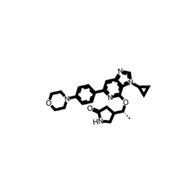 C[C@@H](Oc1nc(-c2ccc(N3CCOCC3)cc2)cc2ncn(C3CC3)c12)C1CNC(=O)C1